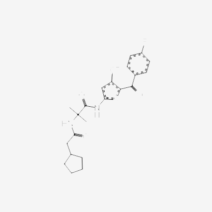 CC(C)(NC(=O)CC1CCCC1)C(=O)Nc1cc(C(F)(F)F)c(C(=O)c2ccc(F)cc2)s1